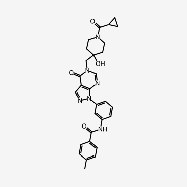 Cc1ccc(C(=O)Nc2cccc(-n3ncc4c(=O)n(CC5(O)CCN(C(=O)C6CC6)CC5)cnc43)c2)cc1